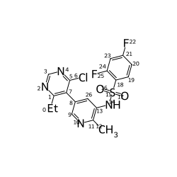 CCc1ncnc(Cl)c1-c1cnc(C)c(NS(=O)(=O)c2ccc(F)cc2F)c1